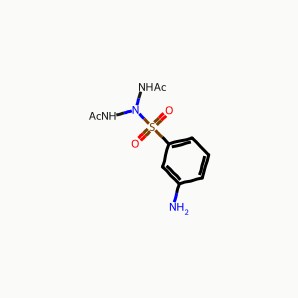 CC(=O)NN(NC(C)=O)S(=O)(=O)c1cccc(N)c1